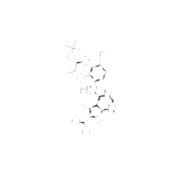 COC(=O)c1sc2ncnc(Nc3ccc(F)cc3OC(C)C(=O)OC(C)(C)C)c2c1C